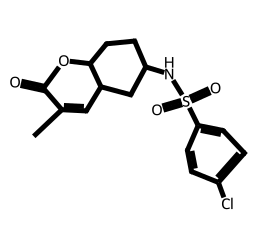 CC1=CC2CC(NS(=O)(=O)c3ccc(Cl)cc3)CCC2OC1=O